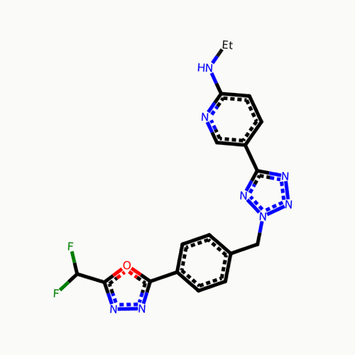 CCNc1ccc(-c2nnn(Cc3ccc(-c4nnc(C(F)F)o4)cc3)n2)cn1